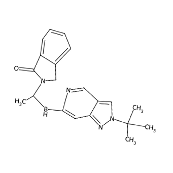 CC(Bc1cc2nn(C(C)(C)C)cc2cn1)N1Cc2ccccc2C1=O